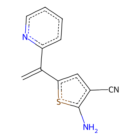 C=C(c1ccccn1)c1cc(C#N)c(N)s1